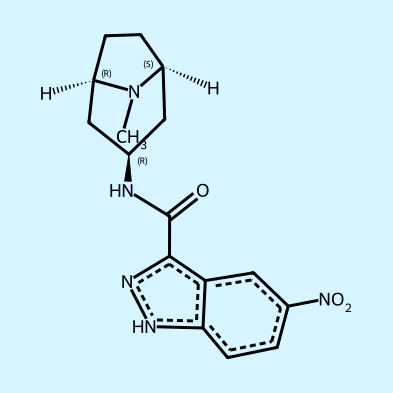 CN1[C@@H]2CC[C@H]1C[C@@H](NC(=O)c1n[nH]c3ccc([N+](=O)[O-])cc13)C2